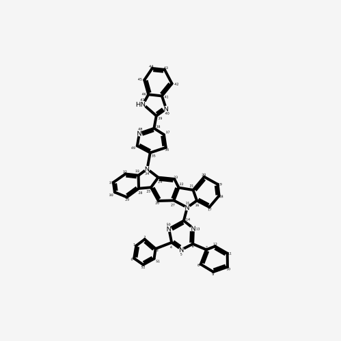 c1ccc(-c2nc(-c3ccccc3)nc(-n3c4ccccc4c4cc5c(cc43)c3ccccc3n5-c3ccc(-c4nc5ccccc5[nH]4)nc3)n2)cc1